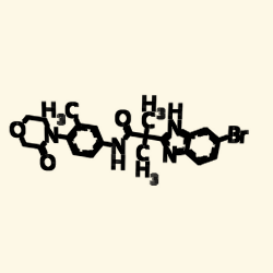 Cc1cc(NC(=O)C(C)(C)c2nc3ccc(Br)cc3[nH]2)ccc1N1CCOCC1=O